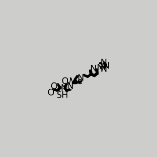 COC1N(C2=C(S)C(=O)OC2)CCN1C1C2CN(CCc3ccc(-n4cnnn4)nc3)CC21